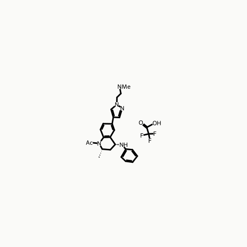 CNCCn1cc(-c2ccc3c(c2)[C@H](Nc2ccccc2)C[C@H](C)N3C(C)=O)cn1.O=C(O)C(F)(F)F